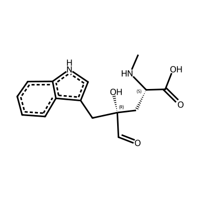 CN[C@@H](C[C@@](O)(C=O)Cc1c[nH]c2ccccc12)C(=O)O